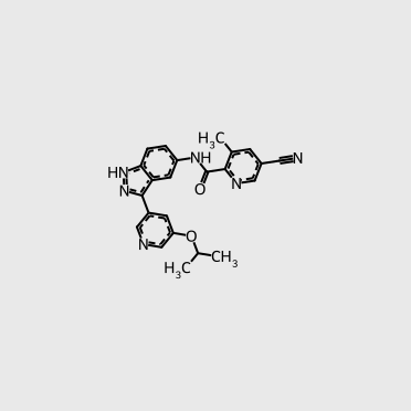 Cc1cc(C#N)cnc1C(=O)Nc1ccc2[nH]nc(-c3cncc(OC(C)C)c3)c2c1